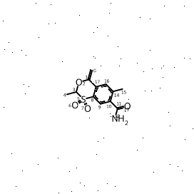 C=C1OC(C)S(=O)(=O)c2cc(C(N)=O)c(C)cc21